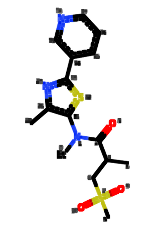 CCN(C(=O)C(C)CS(C)(=O)=O)c1sc(-c2cccnc2)nc1C